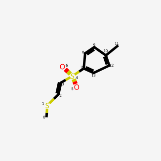 CS/C=C/S(=O)(=O)c1ccc(C)cc1